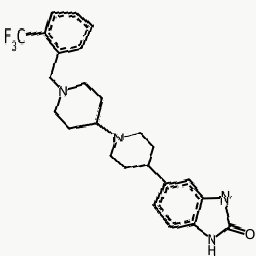 O=C1[N]c2cc(C3CCN(C4CCN(Cc5ccccc5C(F)(F)F)CC4)CC3)ccc2N1